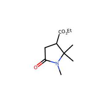 CCOC(=O)C1CC(=O)N(C)C1(C)C